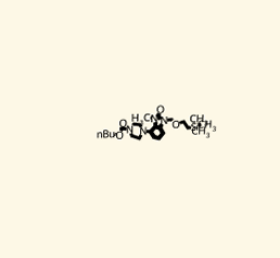 CCCCOC(=O)N1CCN(c2cccc3c2n(C)c(=O)n3COCC[Si](C)(C)C)CC1